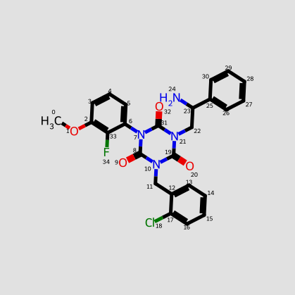 COc1cccc(-n2c(=O)n(Cc3ccccc3Cl)c(=O)n(CC(N)c3ccccc3)c2=O)c1F